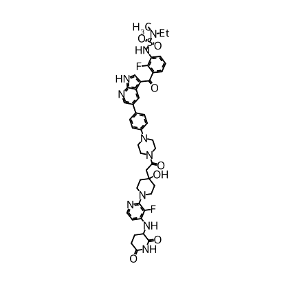 CCN(C)S(=O)(=O)Nc1cccc(C(=O)c2c[nH]c3ncc(-c4ccc(N5CCN(C(=O)CC6(O)CCN(c7nccc(NC8CCC(=O)NC8=O)c7F)CC6)CC5)cc4)cc23)c1F